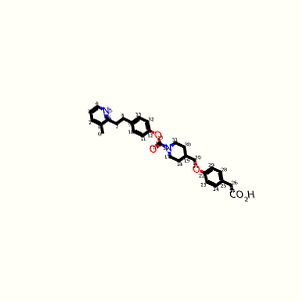 Cc1cccnc1CCc1ccc(OC(=O)N2CCC(COc3ccc(CC(=O)O)cc3)CC2)cc1